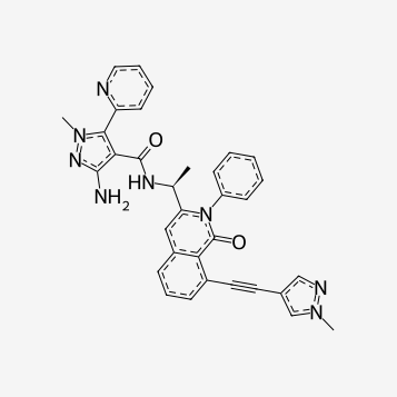 C[C@H](NC(=O)c1c(N)nn(C)c1-c1ccccn1)c1cc2cccc(C#Cc3cnn(C)c3)c2c(=O)n1-c1ccccc1